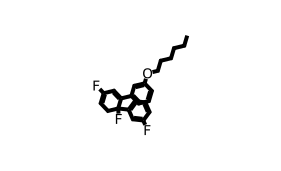 CCCCCCOc1cccc(C2=CC(F)=CCC2(F)c2cccc(F)c2)c1